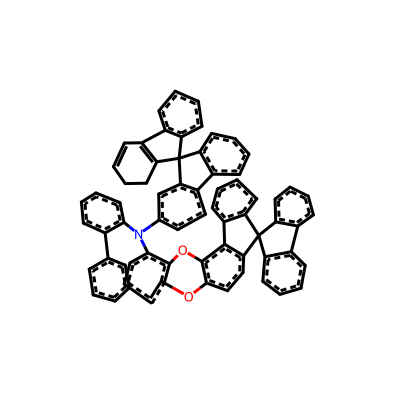 C1=CC2=C(CC1)C1(c3ccccc32)c2ccccc2-c2ccc(N(c3ccccc3-c3ccccc3)c3cccc4c3Oc3c(ccc5c3-c3ccccc3C53c5ccccc5-c5ccccc53)O4)cc21